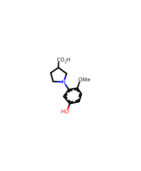 COc1ccc(O)cc1N1CCC(C(=O)O)C1